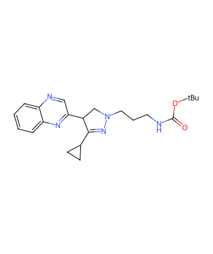 CC(C)(C)OC(=O)NCCCN1CC(c2cnc3ccccc3n2)C(C2CC2)=N1